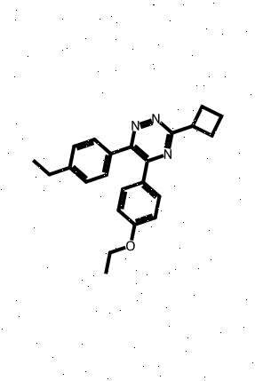 CCOc1ccc(-c2nc(C3CCC3)nnc2-c2ccc(CC)cc2)cc1